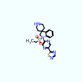 CCS(=O)(=O)[N+]1(c2cnc(-c3ncns3)cn2)CC2(CCNCC2)c2ccccc21